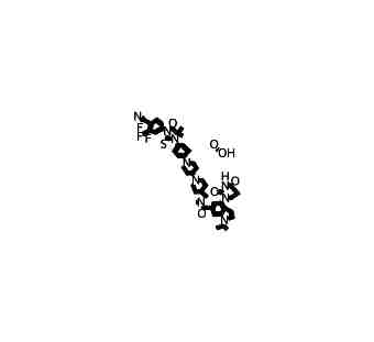 CC(C)n1ccc2c(N3CCC(=O)NC3=O)cc(C(=O)N(C)CC3CCN(C4CCN(c5ccc(N6C(=S)N(c7ccc(C#N)c(C(F)(F)F)c7)C(=O)C6(C)C)cc5)CC4)CC3)cc21.O=CO